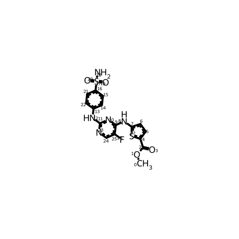 COC(=O)c1ccc(Nc2nc(Nc3ccc(S(N)(=O)=O)cc3)ncc2F)s1